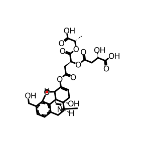 C[C@H](OC(=O)[C@H](CC(=O)OC1=CC[C@@]2(O)[C@H]3Cc4ccc(CO)c5c4[C@@]2(CCN3C)[C@H]1O5)OC(=O)C[C@H](O)C(=O)O)C(=O)O